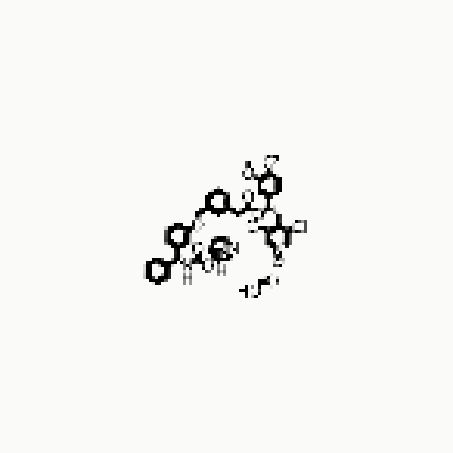 COc1ccc([C@H](Cc2c(Cl)c[n+]([O-])cc2Cl)OC(=O)Cc2cccc(COc3cccc([C@@H](NC(=O)O[C@H]4CN5CCC4CC5)c4ccccc4)c3)c2)cc1OC.O=CO